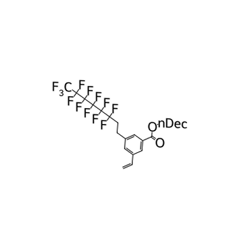 C=Cc1cc(CCC(F)(F)C(F)(F)C(F)(F)C(F)(F)C(F)(F)C(F)(F)F)cc(C(=O)OCCCCCCCCCC)c1